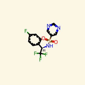 O=S(=O)(N[C@H](c1ccc(F)cc1)C(F)(F)F)c1cncnc1